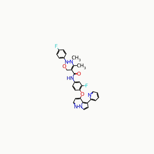 CC1=C(C(=O)Nc2ccc(Oc3ccnn4ccc(-c5ccccn5)c34)c(F)c2)CON(c2ccc(F)cc2)N1C